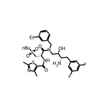 CCCCS(=O)(=O)C[C@@H](NC(=O)c1sc(C)nc1C)C(=O)N(Cc1cccc(CC)c1)C[C@@H](O)[C@@H](N)Cc1cc(F)cc(F)c1